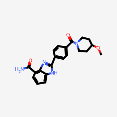 COC1CCN(C(=O)c2ccc(-c3nc4c(C(N)=O)cccc4[nH]3)cc2)CC1